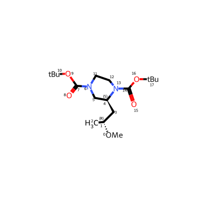 CO[C@H](C)C[C@H]1CN(C(=O)OC(C)(C)C)CCN1C(=O)OC(C)(C)C